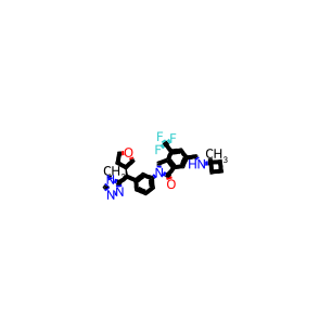 Cn1cnnc1C(c1cccc(N2Cc3c(cc(CNC4(C)CCC4)cc3C(F)(F)F)C2=O)c1)[C@H]1CCOC1